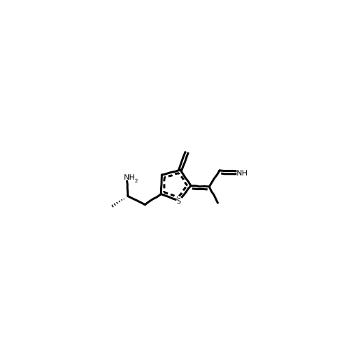 C=c1cc(C[C@H](C)N)s/c1=C(\C)C=N